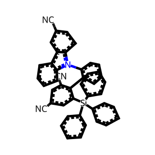 N#Cc1cc(C#N)c(-c2ccccc2-n2c3ccccc3c3cc(C#N)ccc32)c([Si](c2ccccc2)(c2ccccc2)c2ccccc2)c1